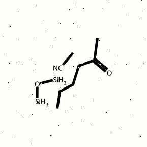 CC#N.CCCCC(C)=O.[SiH3]O[SiH3]